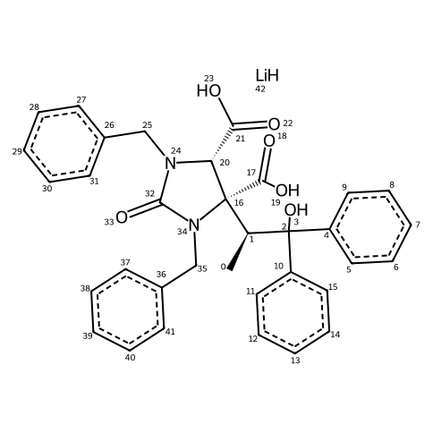 C[C@H](C(O)(c1ccccc1)c1ccccc1)[C@]1(C(=O)O)[C@@H](C(=O)O)N(Cc2ccccc2)C(=O)N1Cc1ccccc1.[LiH]